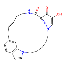 O=C1NCC/C=C/Cc2ccc3ccn(c3c2)CCCCCn2cc(O)c(=O)c1n2